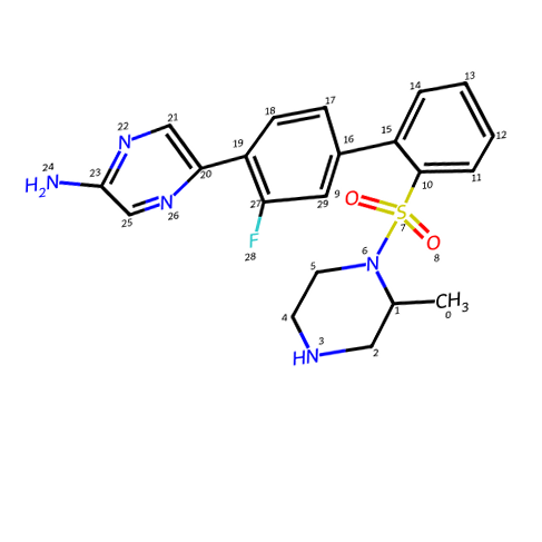 CC1CNCCN1S(=O)(=O)c1ccccc1-c1ccc(-c2cnc(N)cn2)c(F)c1